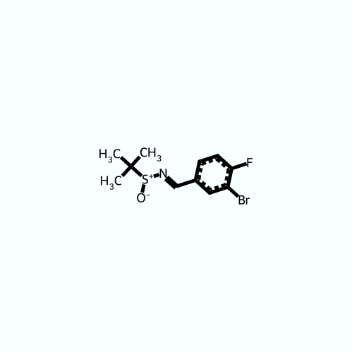 CC(C)(C)[S+]([O-])N=Cc1ccc(F)c(Br)c1